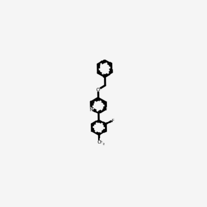 Fc1cc(C(F)(F)F)ccc1-c1ccc(OCc2ccccc2)cn1